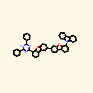 c1ccc(C2=NC(c3cccc4c3oc3ccc(-c5ccc6c(c5)oc5c(-n7c8ccccc8c8ccccc87)cccc56)cc34)=NC(c3ccccc3)N2)cc1